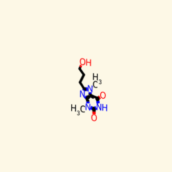 Cn1c(CCCO)nc2c1c(=O)[nH]c(=O)n2C